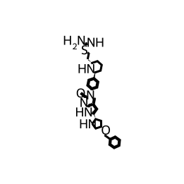 N=C(N)SCC[C@@H]1CCC[C@@H](c2ccc(-n3cc4cc([C@@H]5C[C@@H](OCc6ccccc6)CN5)[nH]c4nc3=O)cc2)N1